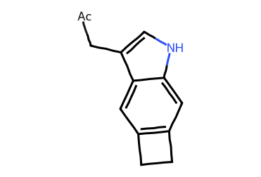 CC(=O)Cc1c[nH]c2cc3c(cc12)CC3